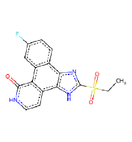 CCS(=O)(=O)c1nc2c3ccc(F)cc3c3c(=O)[nH]ccc3c2[nH]1